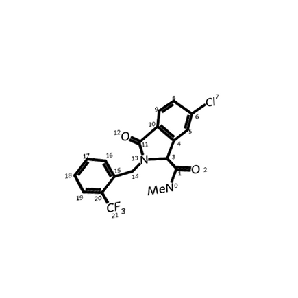 CNC(=O)C1c2cc(Cl)ccc2C(=O)N1Cc1ccccc1C(F)(F)F